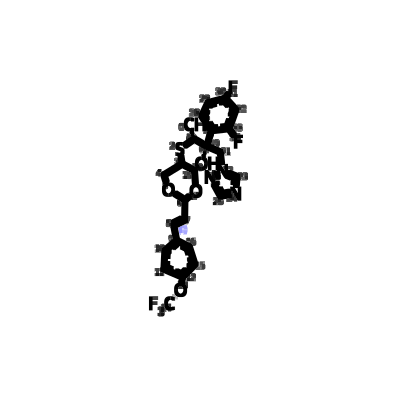 C[C@@H](SC1COC(/C=C/c2ccc(OC(F)(F)F)cc2)OC1)[C@](O)(Cn1cncn1)c1ccc(F)cc1F